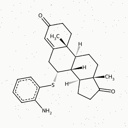 C[C@]12CCC(=O)C=C1C[C@@H](Sc1ccccc1N)[C@@H]1[C@@H]2CC[C@]2(C)C(=O)CC[C@@H]12